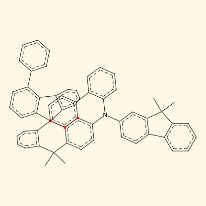 CC1(C)c2ccccc2-c2ccc(N(c3ccc4c(c3)C3(c5ccccc5-c5c(-c6ccccc6)cccc53)c3ccccc3C4(C)C)c3ccccc3-c3ccccc3)cc21